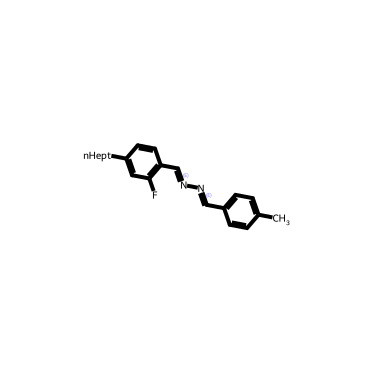 CCCCCCCc1ccc(/C=N/N=C/c2ccc(C)cc2)c(F)c1